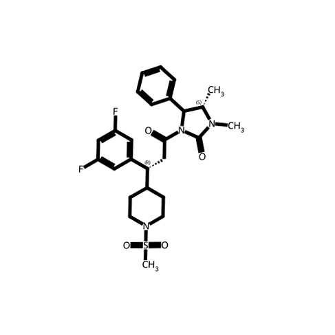 C[C@H]1C(c2ccccc2)N(C(=O)C[C@@H](c2cc(F)cc(F)c2)C2CCN(S(C)(=O)=O)CC2)C(=O)N1C